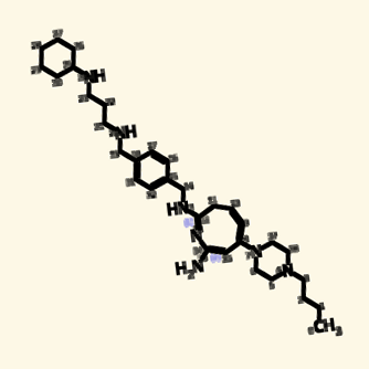 CCCCN1CCN(C2=C=CC/C(NCc3ccc(CNCCCNC4CCCCC4)cc3)=N\C(N)=C/2)CC1